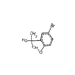 CC(C)(O)c1cc(Br)ccc1Cl